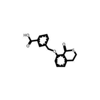 O=C(O)c1cccc(COc2cccc3c2C(=O)SCC3)c1